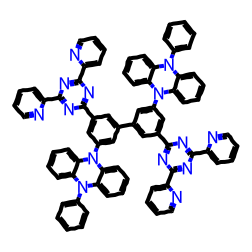 c1ccc(N2c3ccccc3N(c3cc(-c4cc(-c5nc(-c6ccccn6)nc(-c6ccccn6)n5)cc(N5c6ccccc6N(c6ccccc6)c6ccccc65)c4)cc(-c4nc(-c5ccccn5)nc(-c5ccccn5)n4)c3)c3ccccc32)cc1